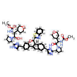 COC(=O)NC(C(=O)N1CCC[C@H]1c1ncc(-c2ccc3c(c2)C=C2c4ccc(-c5c[nH]c([C@@H]6CCCN6C(O)[C@H](NC(=O)OC)C6CCOCC6)n5)cc4O[C@@H](c4nc5ccccc5s4)[C@H]23)[nH]1)C1CCOCC1